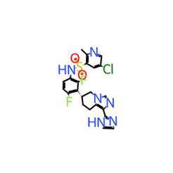 Cc1ncc(Cl)cc1S(=O)(=O)Nc1ccc(F)c([C@H]2CCc3c(-c4ncc[nH]4)ncn3C2)c1F